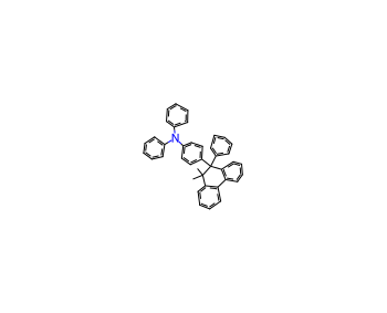 CC1(C)c2ccccc2-c2ccccc2C1(c1ccccc1)c1ccc(N(c2ccccc2)c2ccccc2)cc1